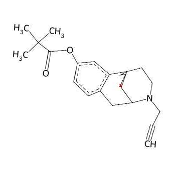 C#CCN1CCC23CCCCC2C1Cc1ccc(OC(=O)C(C)(C)C)cc13